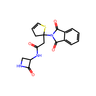 O=C(CC1(N2C(=O)c3ccccc3C2=O)CC=CS1)NC1CNC1=O